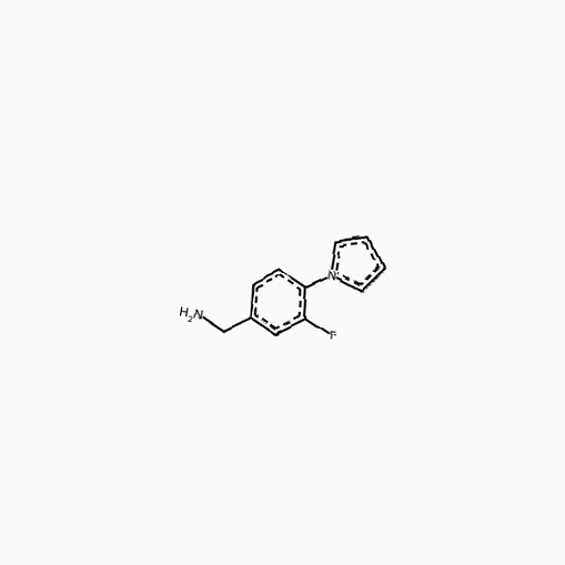 NCc1ccc(-n2cccc2)c(F)c1